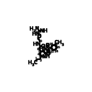 CCCc1cc(CC(=O)NCCONC(=N)N)c(NS(=O)(=O)c2cccc(C)c2)c(=O)[nH]1